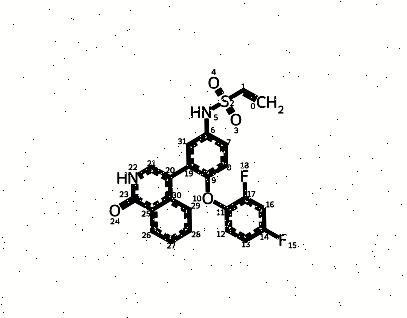 C=CS(=O)(=O)Nc1ccc(Oc2ccc(F)cc2F)c(-c2c[nH]c(=O)c3ccccc23)c1